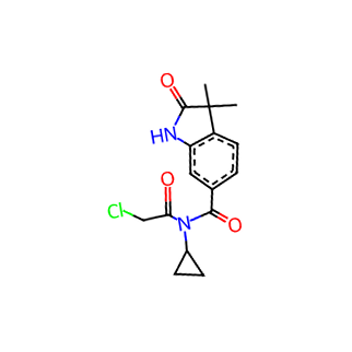 CC1(C)C(=O)Nc2cc(C(=O)N(C(=O)CCl)C3CC3)ccc21